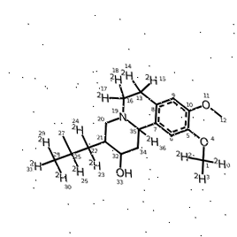 [2H]C([2H])([2H])Oc1cc2c(cc1OC)C([2H])([2H])C([2H])([2H])N1CC(C([2H])([2H])C([2H])(C)C([2H])([2H])[2H])C(O)CC21[2H]